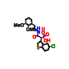 COc1cccc(C=CNC(=O)C(c2csc3ccc(Cl)cc23)P(=O)(O)O)c1OC